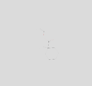 C=COC(=O)C1(C(=O)O)CCCCC1